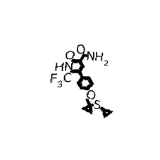 NC(=O)c1cc(-c2ccc(OCC3(SC4CC4)CC3)cc2)c(C(F)(F)F)[nH]c1=O